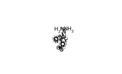 CC(C)c1nc(CN=C(N)N)n(Cc2cccnc2)c1Sc1cccc([N+](=O)[O-])c1